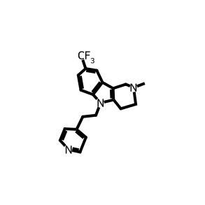 CN1CCc2c(c3cc(C(F)(F)F)ccc3n2CCc2ccncc2)C1